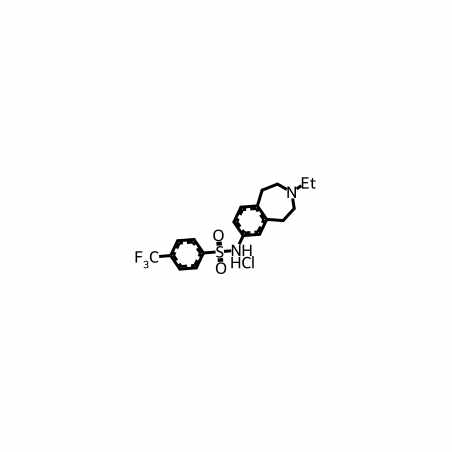 CCN1CCc2ccc(NS(=O)(=O)c3ccc(C(F)(F)F)cc3)cc2CC1.Cl